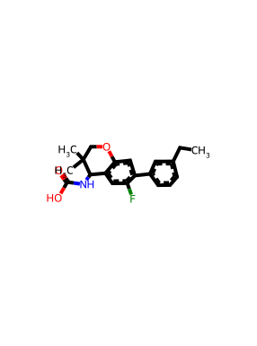 CCc1cccc(-c2cc3c(cc2F)C(NC(=O)O)C(C)(C)CO3)c1